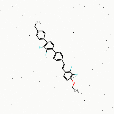 CCOc1ccc(/C=C/c2ccc(-c3ccc(-c4ccc(CC)cc4)c(F)c3F)cc2)c(F)c1F